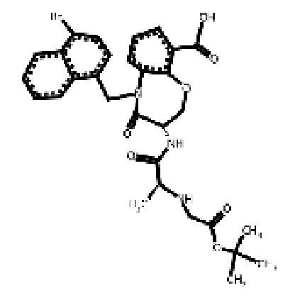 C[C@H](NCC(=O)OC(C)(C)C)C(=O)N[C@H]1COc2c(C(=O)O)cccc2N(Cc2ccc(Br)c3ccccc23)C1=O